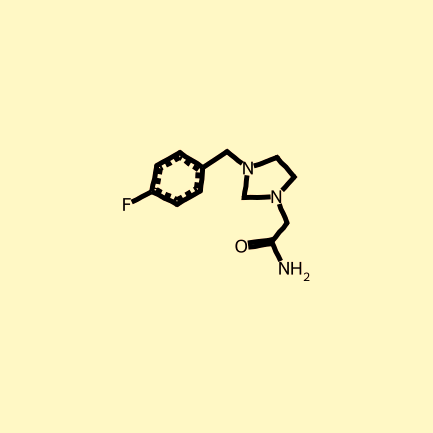 NC(=O)CN1CCN(Cc2ccc(F)cc2)C1